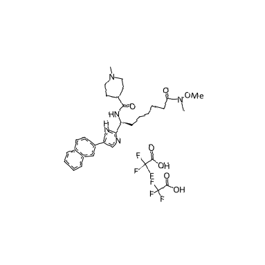 CON(C)C(=O)CCCCC[C@H](NC(=O)C1CCN(C)CC1)c1ncc(-c2ccc3ccccc3c2)[nH]1.O=C(O)C(F)(F)F.O=C(O)C(F)(F)F